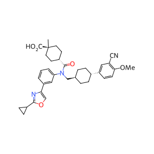 COc1ccc([C@H]2CC[C@H](CN(c3cccc(-c4coc(C5CC5)n4)c3)C(=O)[C@H]3CC[C@](C)(C(=O)O)CC3)CC2)cc1C#N